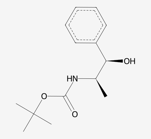 C[C@@H](NC(=O)OC(C)(C)C)[C@H](O)c1ccccc1